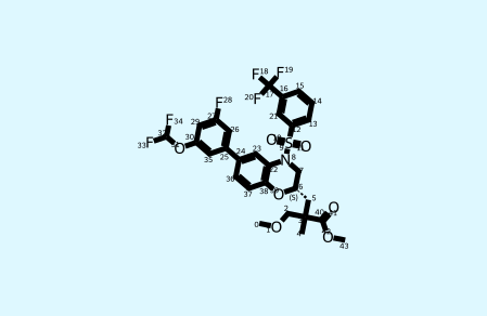 COCC(C)(C[C@H]1CN(S(=O)(=O)c2cccc(C(F)(F)F)c2)c2cc(-c3cc(F)cc(OC(F)F)c3)ccc2O1)C(=O)OC